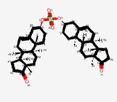 C[C@]12CC[C@H](OS(=O)(=O)O[C@H]3CC[C@@]4(C)C(=CC[C@@H]5[C@@H]4CC[C@]4(C)C(=O)CC[C@@H]54)C3)CC1=CC[C@@H]1[C@@H]2CC[C@]2(C)C(=O)CC[C@@H]12